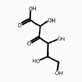 O=C(O)C(O)C(=O)C(O)C(O)CO